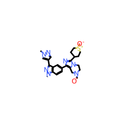 Cn1cc(-c2nn(C)c3ccc(-c4nc(C5CC[S+]([O-])CC5)n5c4CN(C=O)CC5)cc23)cn1